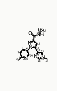 Cc1ccc(-n2nc(C(=O)NC(C)(C)C)cc2-c2cn(C)cn2)cn1